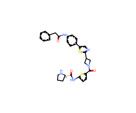 O=C(Cc1ccccc1)Nc1ccc(-c2cnc(C3CN(C(=O)c4ccc(NC(=O)[C@@H]5CCCN5)s4)C3)s2)cc1